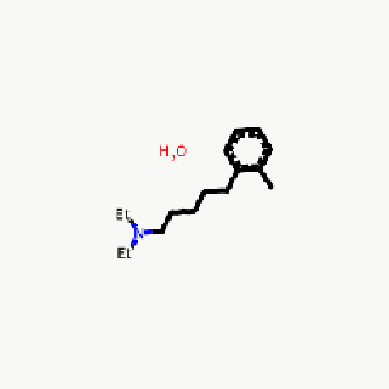 CCN(CC)CCCCCc1ccccc1C.O